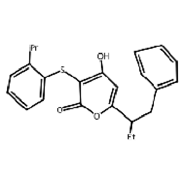 CCC(Cc1ccccc1)c1cc(O)c(Sc2ccccc2C(C)C)c(=O)o1